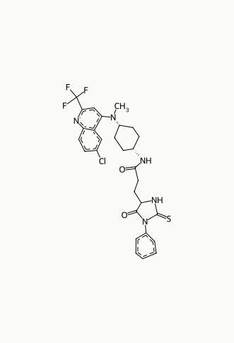 CN(c1cc(C(F)(F)F)nc2ccc(Cl)cc12)[C@H]1CC[C@@H](NC(=O)CCC2NC(=S)N(c3ccccc3)C2=O)CC1